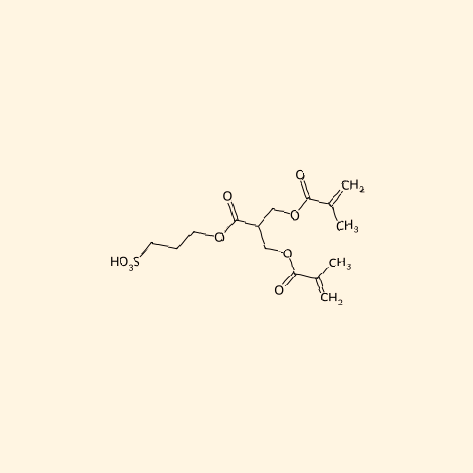 C=C(C)C(=O)OCC(COC(=O)C(=C)C)C(=O)OCCCS(=O)(=O)O